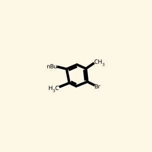 CCCCc1cc(C)c(Br)cc1C